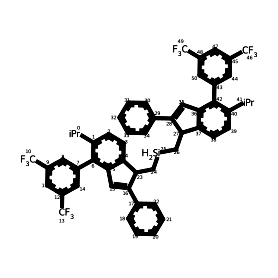 CC(C)c1ccc2c(c1-c1cc(C(F)(F)F)cc(C(F)(F)F)c1)C=C(c1ccccc1)C2C[SiH2]CC1C(c2ccccc2)=Cc2c1ccc(C(C)C)c2-c1cc(C(F)(F)F)cc(C(F)(F)F)c1